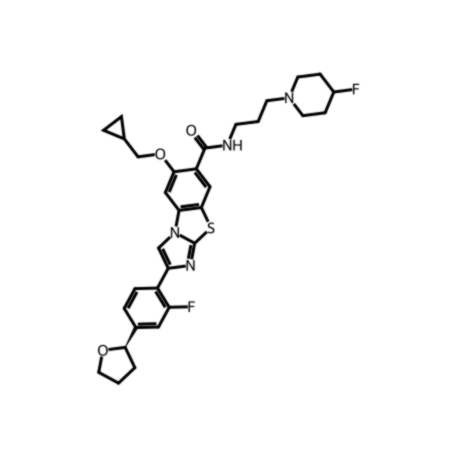 O=C(NCCCN1CCC(F)CC1)c1cc2sc3nc(-c4ccc([C@H]5CCCO5)cc4F)cn3c2cc1OCC1CC1